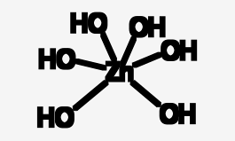 [OH][Zn]([OH])([OH])([OH])([OH])[OH]